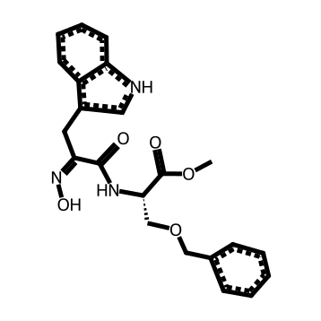 COC(=O)[C@H](COCc1ccccc1)NC(=O)/C(Cc1c[nH]c2ccccc12)=N\O